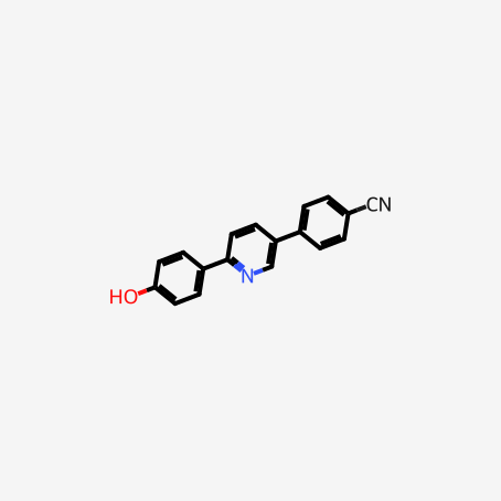 N#Cc1ccc(-c2ccc(-c3ccc(O)cc3)nc2)cc1